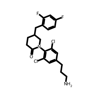 NCCCc1cc(Cl)c(N2CC(Cc3ccc(F)cc3F)CCC2=O)c(Cl)c1